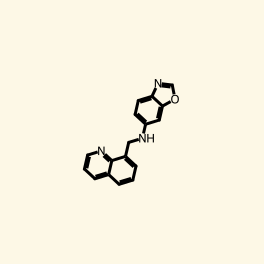 c1cnc2c(CNc3ccc4ncoc4c3)cccc2c1